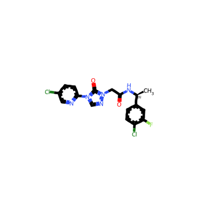 C[C@H](NC(=O)Cn1ncn(-c2ccc(Cl)cn2)c1=O)c1ccc(Cl)c(F)c1